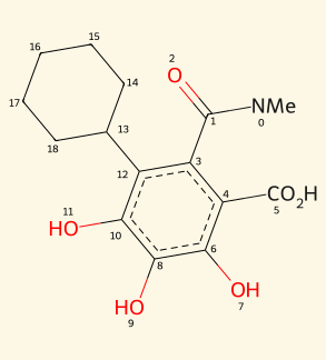 CNC(=O)c1c(C(=O)O)c(O)c(O)c(O)c1C1CCCCC1